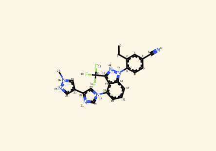 CCc1cc(C#N)ccc1-n1nc(C(F)(F)F)c2c(-n3cnc(-c4cnn(C)c4)c3)cccc21